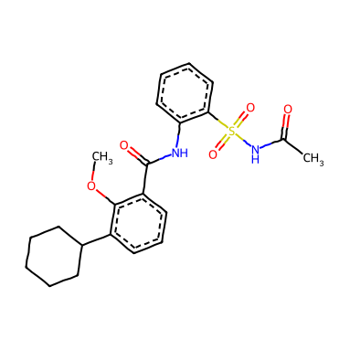 COc1c(C(=O)Nc2ccccc2S(=O)(=O)NC(C)=O)cccc1C1CCCCC1